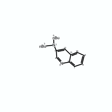 CCCCN(CCCC)c1cnc2ccccc2c1